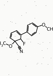 COc1ccc(C2=CC=CC(C#N)(OC)C2F)cc1